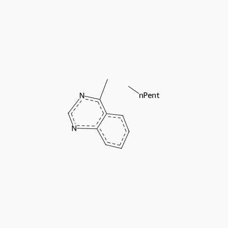 CCCCCC.Cc1ncnc2ccccc12